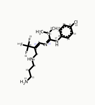 CN(C)/C(=N\C=C(/CNCCCN)C(F)(F)F)Nc1ccc(Cl)cc1